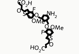 COc1cc2sc(C(=O)CCC(=O)O)cc2c(F)c1OCc1cc(N)cc(COc2c(OC)cc3sc(C(=O)CCC(=O)O)cc3c2F)c1